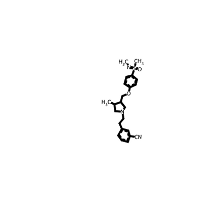 CN=S(C)(=O)c1ccc(OCC2CN(CCc3cccc(C#N)c3)CC2C)cc1